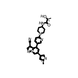 C[C@H](O)C(=O)NC1CCN(c2ccc(-c3cc(-c4cnn(C)c4)cn4ncc(C#N)c34)cn2)CC1